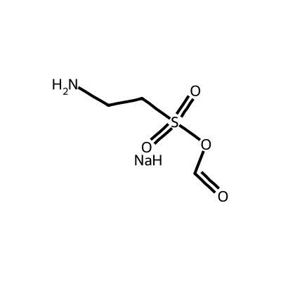 NCCS(=O)(=O)OC=O.[NaH]